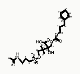 CC(=O)NCCCS(=O)(=O)OCC(C)(C)[C@@](O)(COC(=O)OCCCc1ccccc1)C(=O)O